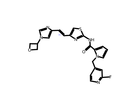 O=C(Nc1nc(/C=C/c2cn(C3COC3)cn2)cs1)c1cccn1Cc1ccnc(F)c1